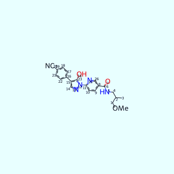 COCC(C)CNC(=O)c1ccc(-n2ncc(-c3ccc(C#N)cc3)c2O)nc1